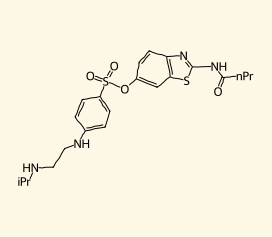 CCCC(=O)Nc1nc2ccc(OS(=O)(=O)c3ccc(NCCNC(C)C)cc3)cc2s1